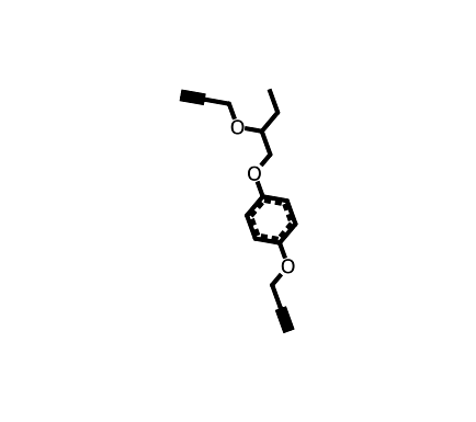 C#CCOc1ccc(OCC(CC)OCC#C)cc1